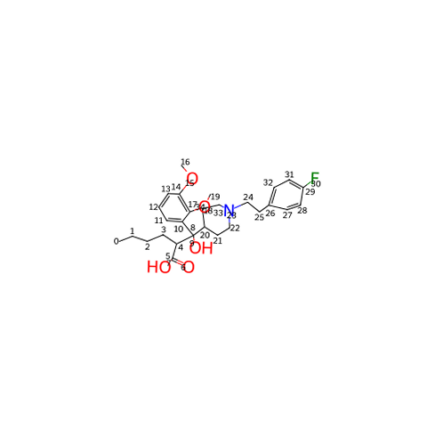 CCCCC(C(=O)O)C(O)(c1cccc(OC)c1OC)C1CCN(CCc2ccc(F)cc2)CC1